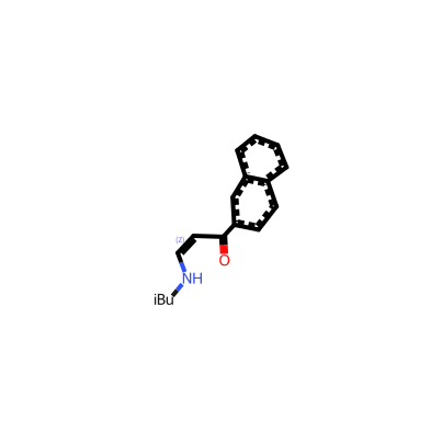 CCC(C)N/C=C\C(=O)c1ccc2ccccc2c1